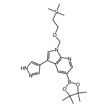 CC1(C)OB(c2cnc3c(c2)c(-c2cn[nH]c2)cn3COCC[Si](C)(C)C)OC1(C)C